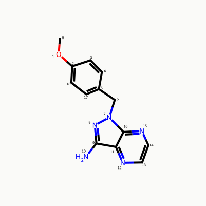 COc1ccc(Cn2nc(N)c3nccnc32)cc1